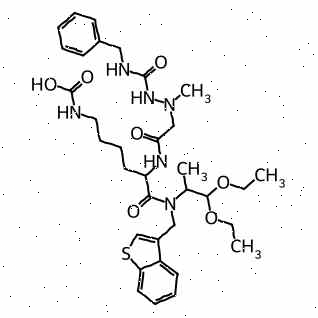 CCOC(OCC)C(C)N(Cc1csc2ccccc12)C(=O)C(CCCCNC(=O)O)NC(=O)CN(C)NC(=O)NCc1ccccc1